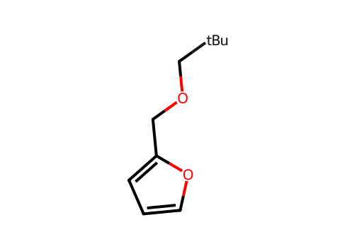 CC(C)(C)COCc1ccco1